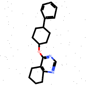 c1ccc(C2CCC(Oc3ncnc4c3CCCC4)CC2)cc1